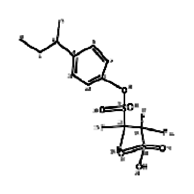 CCC(C)c1ccc(OS(=O)(=O)C(F)(F)C(F)(F)S(=O)(=O)O)cc1